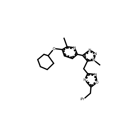 Cc1nc(-c2nnn(C)c2Cc2noc(CC(C)C)n2)ccc1OC1CCCCC1